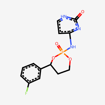 O=c1nc(NP2(=O)OCCC(c3cccc(F)c3)O2)cc[nH]1